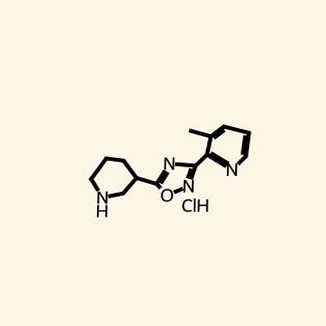 Cc1cccnc1-c1noc(C2CCCNC2)n1.Cl